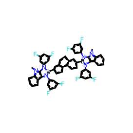 Cn1c2c(c3ccccc31)N(c1cc(F)cc(F)c1)B(c1ccc3c(ccc4cc(B5N(c6cc(F)cc(F)c6)c6c(n(C)c7ccccc67)N5c5cc(F)cc(F)c5)ccc43)c1)N2c1cc(F)cc(F)c1